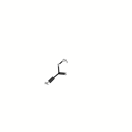 C#CC(=S)SC